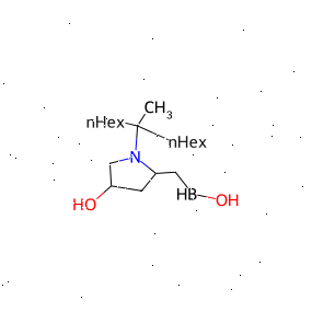 CCCCCCC(C)(CCCCCC)N1CC(O)CC1CBO